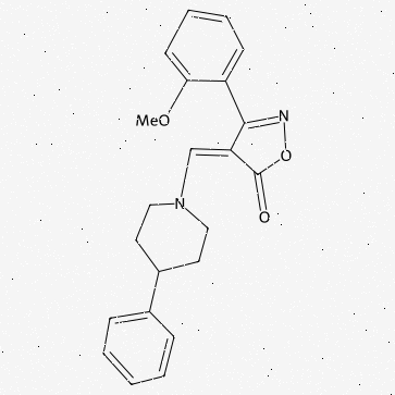 COc1ccccc1C1=NOC(=O)/C1=C\N1CCC(c2ccccc2)CC1